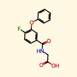 O=C(O)CNC(=O)c1ccc(F)c(Oc2ccccc2)c1